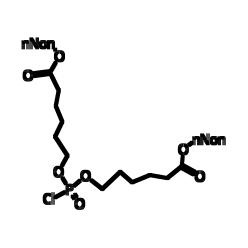 CCCCCCCCCOC(=O)CCCCCOP(=O)(Cl)OCCCCCC(=O)OCCCCCCCCC